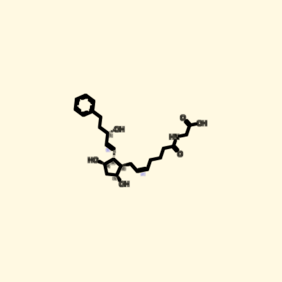 O=C(O)CNC(=O)CCC/C=C\C[C@@H]1[C@@H](/C=C/[C@@H](O)CCc2ccccc2)[C@H](O)C[C@@H]1O